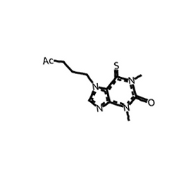 CC(=O)CCCn1cnc2c1c(=S)n(C)c(=O)n2C